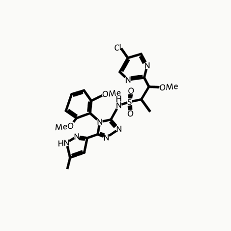 COc1cccc(OC)c1-n1c(NS(=O)(=O)C(C)C(OC)c2ncc(Cl)cn2)nnc1-c1cc(C)[nH]n1